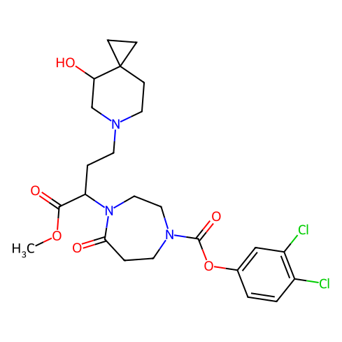 COC(=O)C(CCN1CCC2(CC2)C(O)C1)N1CCN(C(=O)Oc2ccc(Cl)c(Cl)c2)CCC1=O